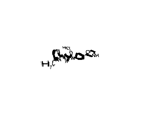 Cc1ccnc(-n2cc(C(=O)Nc3ccc([C@H]4CNCCO4)cc3)cn2)n1.Cl